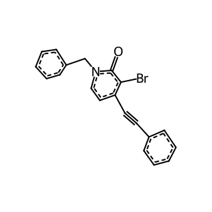 O=c1c(Br)c(C#Cc2ccccc2)ccn1Cc1ccccc1